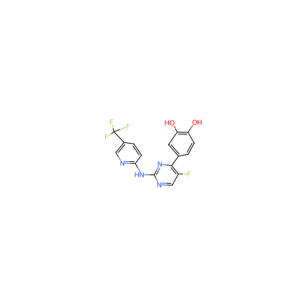 Oc1ccc(-c2nc(Nc3ccc(C(F)(F)F)cn3)ncc2F)cc1O